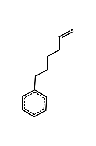 S=[C]CCCCc1ccccc1